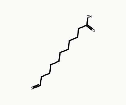 O=C(O)CCCCCCCCCC=S